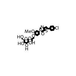 COc1cc(-n2cnc3cc(-c4ccc(Cl)cc4)sc3c2=O)ccc1OCC(C)O[C@H]1O[C@H](CO)[C@H](O)[C@@H](O)[C@H]1O